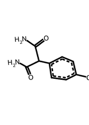 NC(=O)C(C(N)=O)c1ccc(Cl)cc1